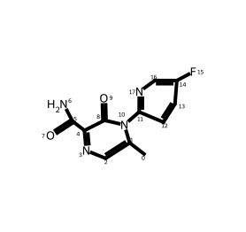 Cc1cnc(C(N)=O)c(=O)n1-c1ccc(F)cn1